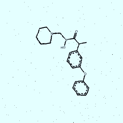 CC(C(=O)N(O)CN1CCCCC1)c1cccc(Oc2ccccc2)c1